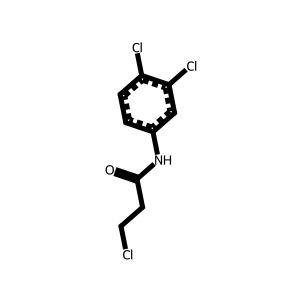 O=C(CCCl)Nc1ccc(Cl)c(Cl)c1